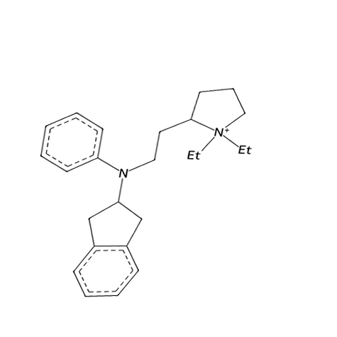 CC[N+]1(CC)CCCC1CCN(c1ccccc1)C1Cc2ccccc2C1